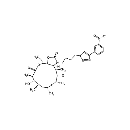 CC[C@H]1OC(=O)[C@H](C)[C@@H](O)[C@H](C)C[C@@H](C)C[C@@H](C)C(=O)[C@H](C)[C@H]2C1OC(=O)N2CCCCn1cc(-c2cccc([N+](=O)[O-])c2)nn1